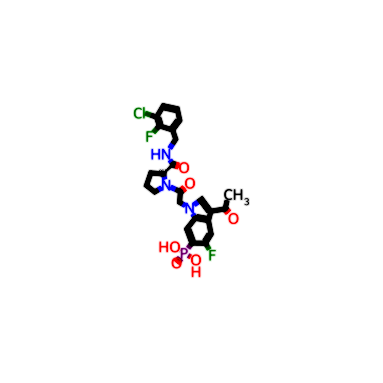 CC(=O)c1cn(CC(=O)N2CCC[C@H]2C(=O)NCc2cccc(Cl)c2F)c2cc(P(=O)(O)O)c(F)cc12